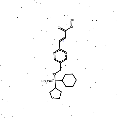 O=C(/C=C/c1ccc(CN[C@](C(=O)O)(C2CCCCC2)C2CCCC2)cc1)NO